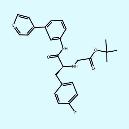 CC(C)(C)OC(=O)CN[C@@H](Cc1ccc(F)cc1)C(=O)Nc1cccc(-c2ccncc2)c1